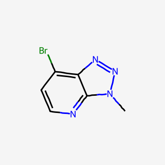 Cn1nnc2c(Br)ccnc21